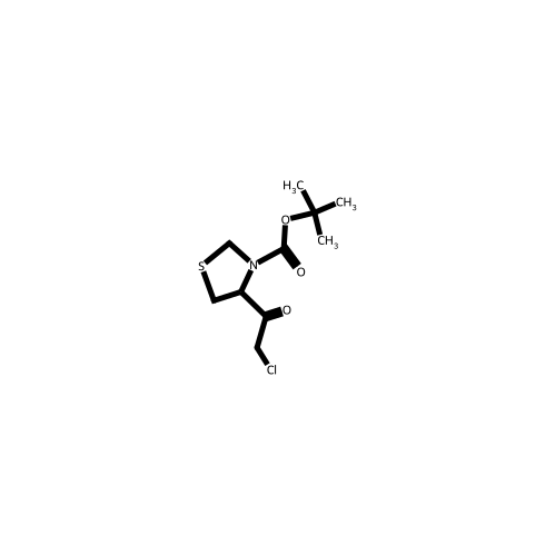 CC(C)(C)OC(=O)N1CSCC1C(=O)CCl